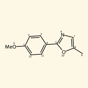 COc1ccc(-c2ncc(C)o2)cc1